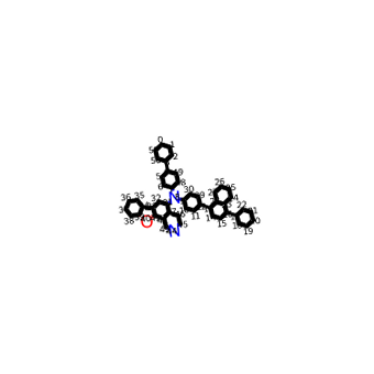 c1ccc(-c2ccc(N(c3ccc(-c4ccc(-c5ccccc5)c5ccccc45)cc3)c3cc4c5ccccc5oc4c4cnccc34)cc2)cc1